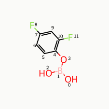 OB(O)Oc1ccc(F)cc1F